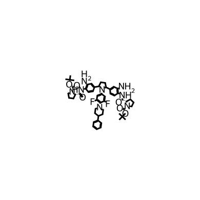 CC(C)(C)OC(=O)N1CCC[C@H]1C(=O)Nc1ccc(C2CCC(c3ccc(NC(=O)[C@@H]4CCCN4C(=O)OC(C)(C)C)c(N)c3)N2c2cc(F)c(N3CCC(c4ccccc4)CC3)c(F)c2)cc1N